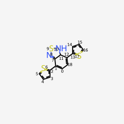 C1=C(c2cccs2)C2=NSNC2C(c2cccs2)=C1